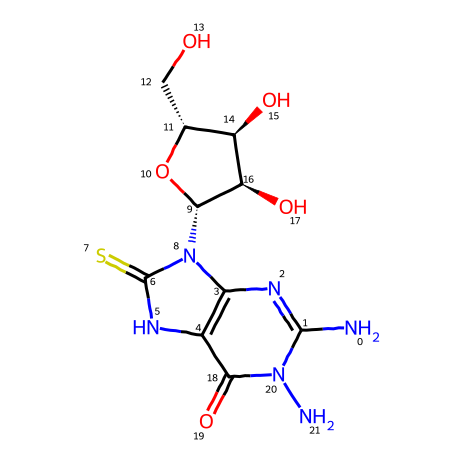 Nc1nc2c([nH]c(=S)n2[C@@H]2O[C@H](CO)[C@@H](O)[C@H]2O)c(=O)n1N